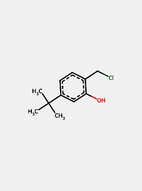 CC(C)(C)c1ccc(CCl)c(O)c1